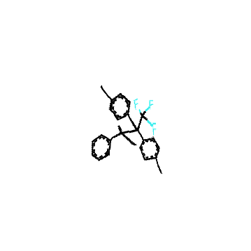 Cc1ccc(C(c2ccc(C)cc2)(C(F)(F)F)C(C)(C)c2ccccc2)cc1